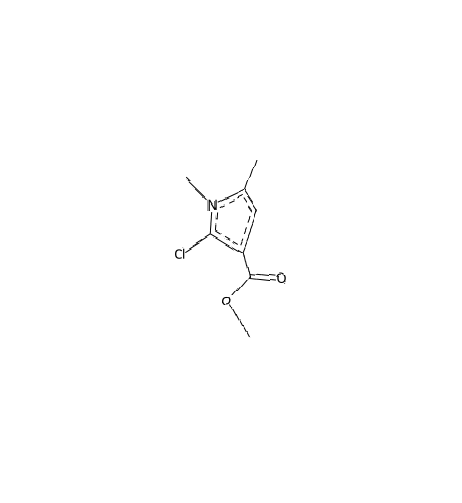 COC(=O)c1cc(C)n(C)c1Cl